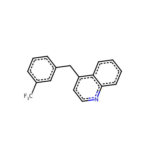 FC(F)(F)c1cccc(Cc2ccnc3ccccc23)c1